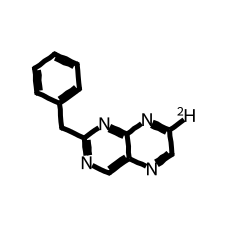 [2H]c1cnc2cnc(Cc3ccccc3)nc2n1